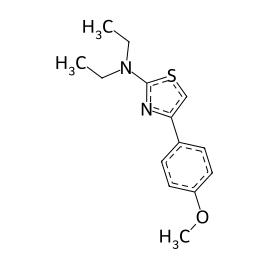 CCN(CC)c1nc(-c2ccc(OC)cc2)cs1